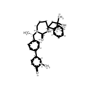 C[C@@H](c1ccc(-c2ccc(=O)n(C)c2)cc1)N1CCCC(CC(C)(C)O)(c2ccccc2)NC1=O